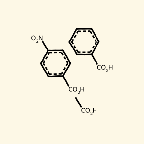 CC(=O)O.O=C(O)c1ccc([N+](=O)[O-])cc1.O=C(O)c1ccccc1